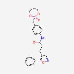 O=C(CCc1cnoc1-c1ccccc1)Nc1ccc(CP2(=O)OCCCO2)cc1